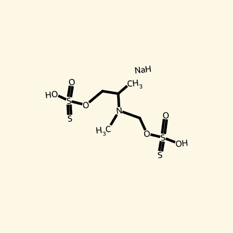 CC(COS(=O)(O)=S)N(C)COS(=O)(O)=S.[NaH]